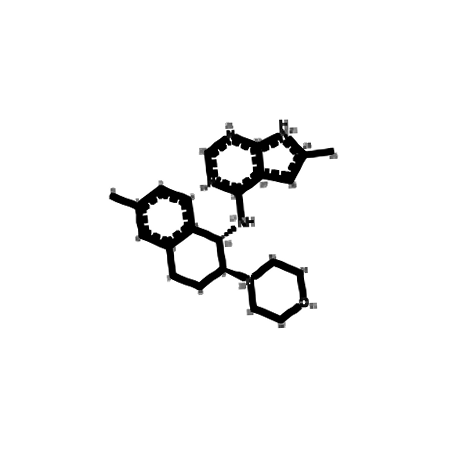 Cc1ccc2c(c1)CC[C@H](N1CCOCC1)[C@H]2Nc1ncnc2[nH]c(C)cc12